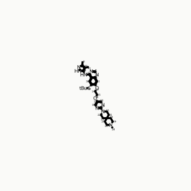 Cc1n[nH]c(Nc2ncnc3cc(OCCOc4cnc(N5CCC6(CCN(C)CC6)CC5)nc4)c(SC(C)(C)C)cc23)c1C